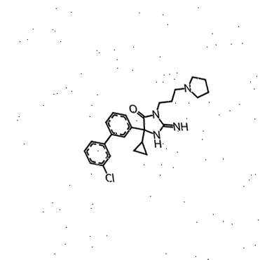 N=C1NC(c2cccc(-c3cccc(Cl)c3)c2)(C2CC2)C(=O)N1CCCN1CCCC1